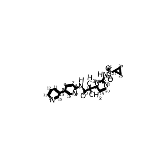 CC(C)(C(=O)Nc1ccc(-c2cccnc2)cn1)c1ccnc(NS(=O)(=O)C2CC2)n1